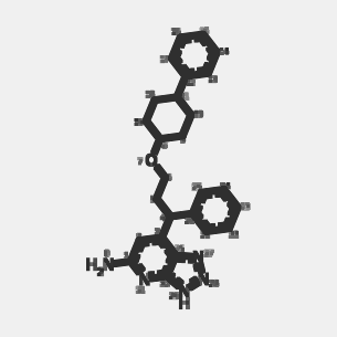 Nc1cc(C(CCOC2CCC(c3ccccc3)CC2)c2ccccc2)c2nn[nH]c2n1